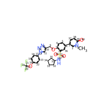 Cn1cc(-c2ccc(OCc3cn(-c4ccc(OC(F)(F)F)cc4)nn3)c(S(=O)(=O)NC3CCCC3)c2)ccc1=O